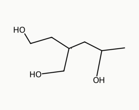 CC(O)C[C](CO)CCO